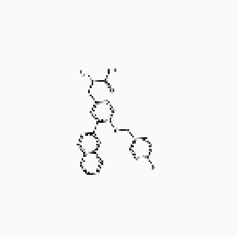 CC(Cc1ccc(OCc2ccc(F)cc2)c(-c2ccc3ccccc3c2)c1)C(=O)O